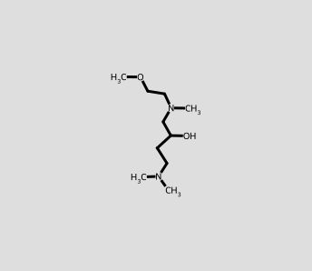 COCCN(C)CC(O)CCN(C)C